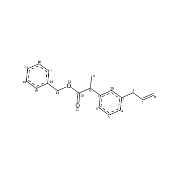 C=CCc1cccc(C(C)C(=O)OCc2ccccc2)c1